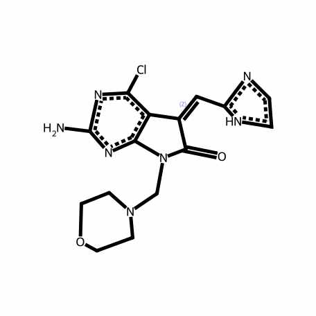 Nc1nc(Cl)c2c(n1)N(CN1CCOCC1)C(=O)/C2=C\c1ncc[nH]1